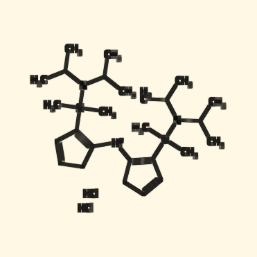 CC(C)N(C(C)C)[Si](C)(C)C1=[C]([Hf][C]2=C([Si](C)(C)N(C(C)C)C(C)C)C=CC2)CC=C1.Cl.Cl